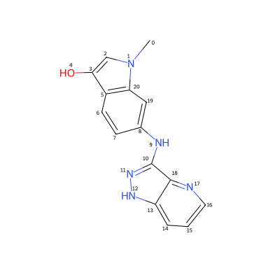 Cn1cc(O)c2ccc(Nc3n[nH]c4cccnc34)cc21